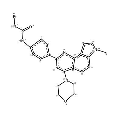 CCNC(=O)Nc1ccc(-c2nc(N3CCOCC3)c3ccc4c(ccn4C)c3n2)cc1